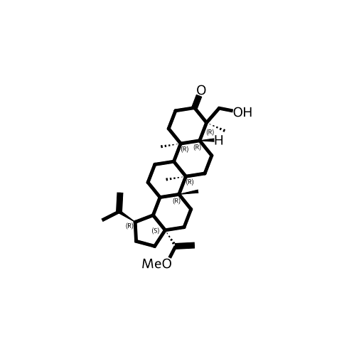 C=C(C)[C@@H]1CC[C@]2(C(=C)OC)CC[C@]3(C)C(CCC4[C@@]5(C)CCC(=O)[C@@](C)(CO)[C@@H]5CC[C@]43C)C12